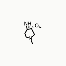 CO[C@@H]1CN(C)CCC1N